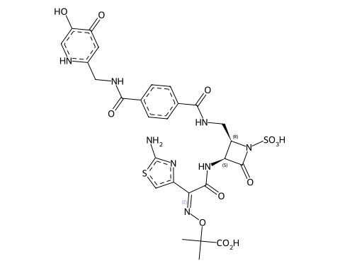 CC(C)(O/N=C(\C(=O)N[C@@H]1C(=O)N(S(=O)(=O)O)[C@@H]1CNC(=O)c1ccc(C(=O)NCc2cc(=O)c(O)c[nH]2)cc1)c1csc(N)n1)C(=O)O